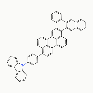 c1ccc(-c2cc3ccccc3cc2-c2ccc3c4cccc5c(-c6ccc(-n7c8ccccc8c8ccccc87)cc6)ccc(c6cccc2c63)c54)cc1